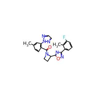 Cc1ccc(C(=O)N2CCC2c2nc(-c3cccc(F)c3C)no2)c(-n2nccn2)c1